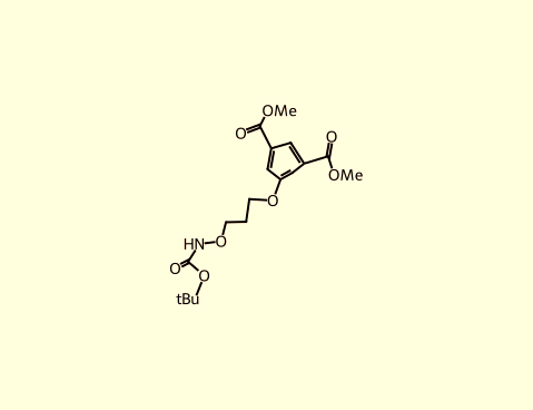 COC(=O)c1cc(OCCCONC(=O)OC(C)(C)C)cc(C(=O)OC)c1